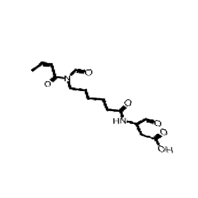 C/C=C\C(=O)N(C=O)CCCCCC(=O)NC(C=O)CC(=O)O